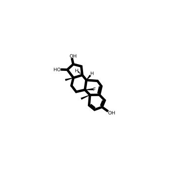 C[C@]12C=CC(O)=CC1=CC[C@H]1[C@@H]3CC(O)C(O)[C@@]3(C)CC[C@]12F